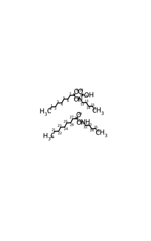 CCCCCCCCC(=O)ON(CCCCC)C(=O)O.CCCCCCCCC(=O)ONCCCCC